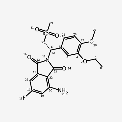 CCOc1cc([C@@H](CS(C)(=O)=O)N2C(=O)c3cc(F)cc(N)c3C2=O)ccc1OC